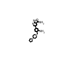 NC(=O)c1cc(-c2ccc(CN3CCC(N4CCCC4)CC3)c(N)c2)cnc1N